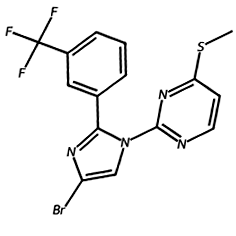 CSc1ccnc(-n2cc(Br)nc2-c2cccc(C(F)(F)F)c2)n1